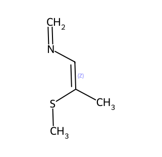 C=N/C=C(/C)SC